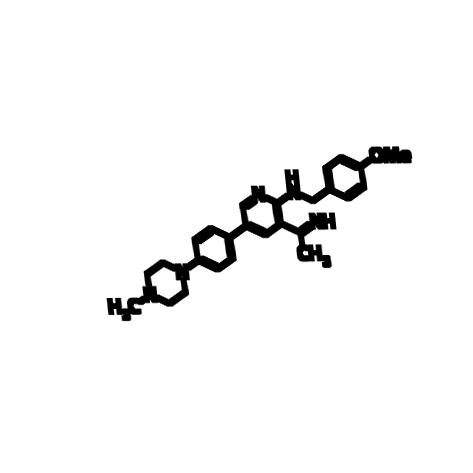 COc1ccc(CNc2ncc(-c3ccc(N4CCN(C)CC4)cc3)cc2C(C)=N)cc1